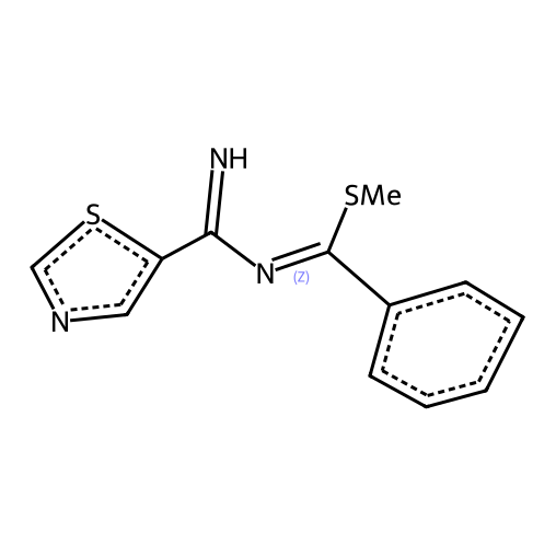 CS/C(=N\C(=N)c1cncs1)c1ccccc1